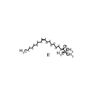 CCCCCCCC/C=C\CCCCCCCC(=O)[N+](C)(C)C.[F-]